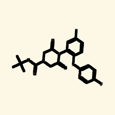 Cc1ccc(Sc2ccc(F)cc2)c(N2C(=O)CN(C(=O)OC(C)(C)C)CC2=O)c1